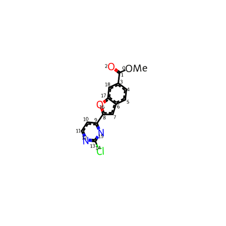 COC(=O)c1ccc2cc(-c3ccnc(Cl)n3)oc2c1